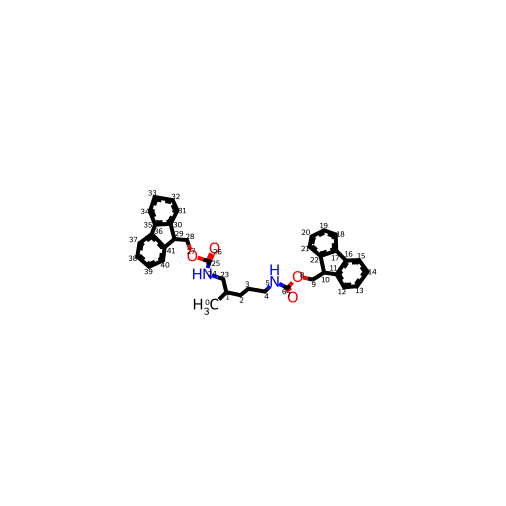 CC(CCCNC(=O)OCC1c2ccccc2-c2ccccc21)CNC(=O)OCC1c2ccccc2-c2ccccc21